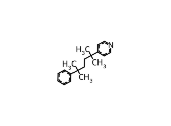 CC(C)(CCC(C)(C)c1ccncc1)c1ccccc1